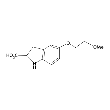 COCCOc1ccc2c(c1)CC(C(=O)O)N2